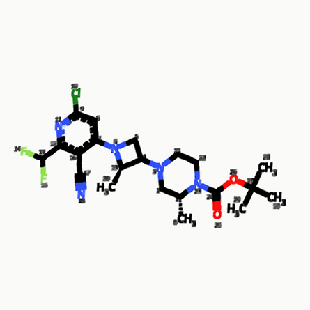 C[C@@H]1CN(C2CN(c3cc(Cl)nc(C(F)F)c3C#N)[C@@H]2C)CCN1C(=O)OC(C)(C)C